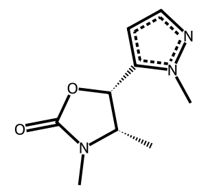 C[C@H]1[C@@H](c2ccnn2C)OC(=O)N1C